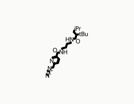 CC(C)CC(C(=O)NCCCCNC(=O)c1ccc(CN=[N+]=[N-])nc1)C(C)(C)C